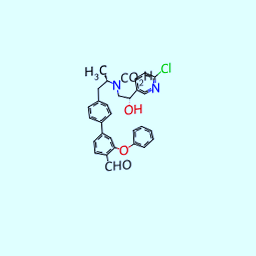 C[C@H](Cc1ccc(-c2ccc(C=O)c(Oc3ccccc3)c2)cc1)N(C[C@@H](O)c1ccc(Cl)nc1)C(=O)O